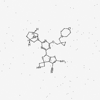 N#Cc1c(N)sc2c1C1(CNC1)SC2c1nc(OCC2(CN3CCOCC3)CC2)nc(N2C[C@H]3CC[C@@H](C2)N3)n1